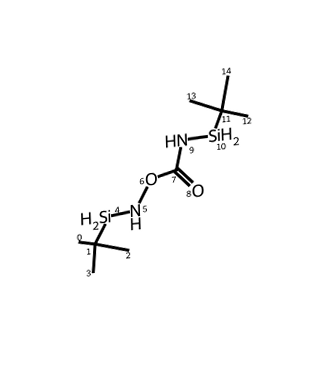 CC(C)(C)[SiH2]NOC(=O)N[SiH2]C(C)(C)C